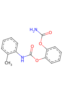 Cc1ccccc1NC(=O)Oc1ccccc1OC(N)=O